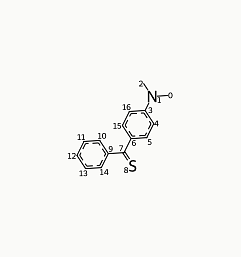 CN(C)c1ccc(C(=S)c2ccccc2)cc1